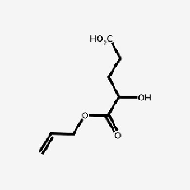 C=CCOC(=O)C(O)CCC(=O)O